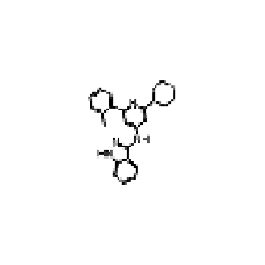 Cc1ccccc1-c1cc(Nc2n[nH]c3ccccc23)cc(C2CCCCC2)n1